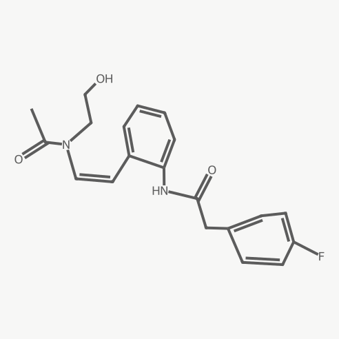 CC(=O)N(/C=C\c1ccccc1NC(=O)Cc1ccc(F)cc1)CCO